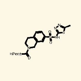 CCCCCC(=O)N1CCc2ccc(S(=O)(=O)Nc3nnc(C)s3)cc2C1